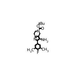 Cc1cc(-c2nn3c(c2N)CN(C(=O)OC(C)(C)C)CC3)cc(C)c1F